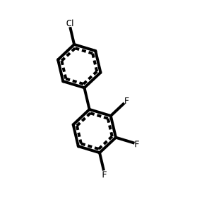 Fc1ccc(-c2ccc(Cl)cc2)c(F)c1F